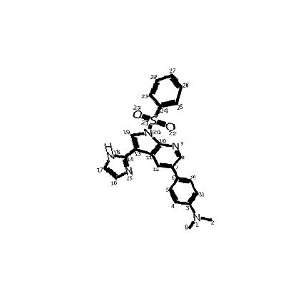 CN(C)c1ccc(-c2cnc3c(c2)c(-c2ncc[nH]2)cn3S(=O)(=O)c2ccccc2)cc1